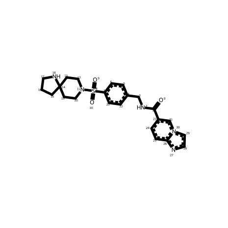 O=C(NCc1ccc(S(=O)(=O)N2CCC3(CCCN3)CC2)cc1)c1ccc2nccn2c1